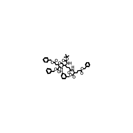 CC(C)(C)OC(=O)NC(CCC(=O)NC(CCC(=O)OCc1ccccc1)C(=O)OCc1ccccc1)C(C=O)NC(CCC(=O)OCc1ccccc1)C(=O)OCc1ccccc1